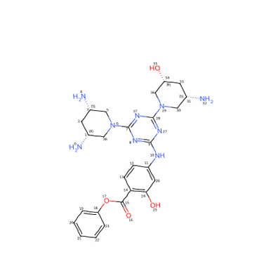 N[C@@H]1C[C@H](N)CN(c2nc(Nc3ccc(C(=O)Oc4ccccc4)c(O)c3)nc(N3C[C@@H](N)C[C@@H](O)C3)n2)C1